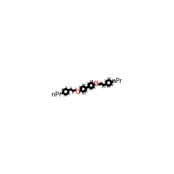 CCCC1CCC(CCCOc2ccc(-c3ccc(OCCCC4CCC(CCC)CC4)cc3)cc2)CC1